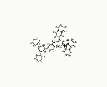 c1ccc(-c2nc(-c3ccccc3)nc(-c3ccc4c(c3)oc3c(-c5ccc6ccccc6c5)cc(-n5c6ccccc6c6ccccc65)cc34)n2)cc1